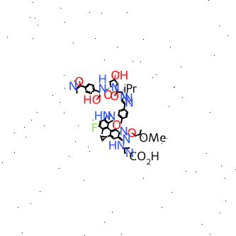 CO[C@@H](C)COc1nc(NC2CN(C(=O)O)C2)c2cc(C3CC3)c(-c3c(C)c(F)cc4[nH]ncc34)c(OCc3ccc(-c4cn([C@H](C(=O)N5C[C@H](O)C[C@H]5C(=O)N[C@@H](CO)c5ccc(-c6ocnc6C)cc5)C(C)C)nn4)cc3)c2n1